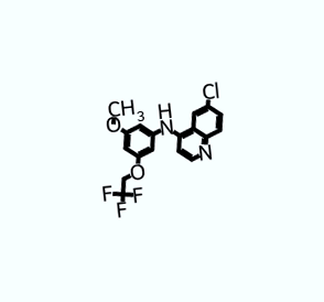 COc1cc(Nc2ccnc3ccc(Cl)cc23)cc(OCC(F)(F)F)c1